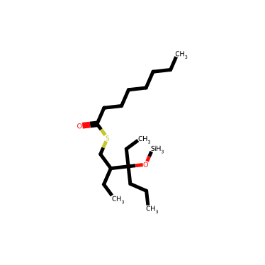 CCCCCCCC(=O)SCC(CC)C(CC)(CCC)O[SiH3]